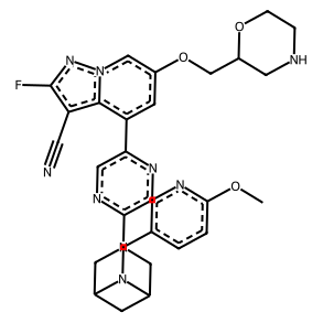 COc1ccc(CN2C3CC2CN(c2cnc(-c4cc(OCC5CNCCO5)cn5nc(F)c(C#N)c45)cn2)C3)cn1